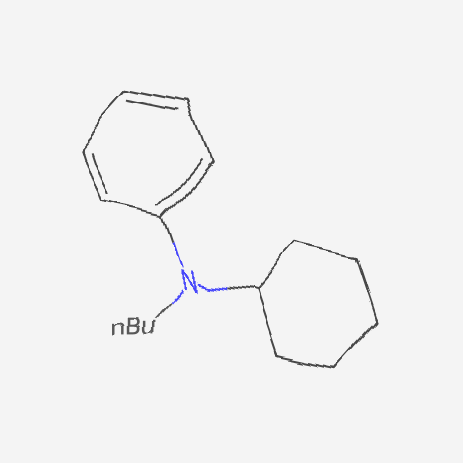 CCCCN(c1ccccc1)C1CCCCC1